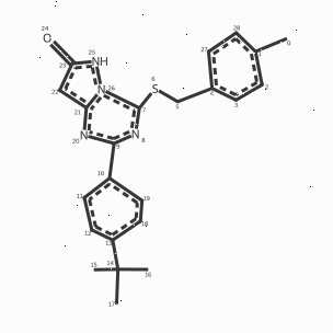 Cc1ccc(CSc2nc(-c3ccc(C(C)(C)C)cc3)nc3cc(=O)[nH]n23)cc1